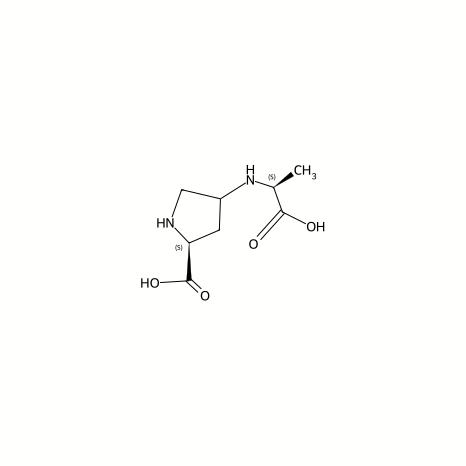 C[C@H](NC1CN[C@H](C(=O)O)C1)C(=O)O